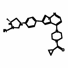 CC(C)N1C[C@@H](c2ccc(-c3cc4c(N5CCN(C(=O)C6CC6)CC5)ccnn4c3)cc2)C[C@H]1C